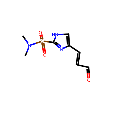 CN(C)S(=O)(=O)c1nc(C=CC=O)c[nH]1